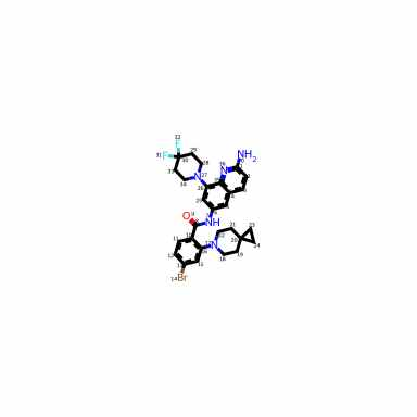 Nc1ccc2cc(NC(=O)c3ccc(Br)cc3N3CCC4(CC3)CC4)cc(N3CCC(F)(F)CC3)c2n1